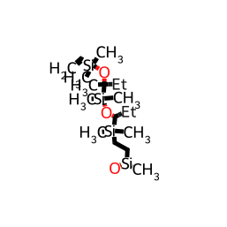 C=C[Si](C)(C)OC(C)(CC)[Si](C)(C)OC(CC)[Si](C)(C)CC[Si](C)=O